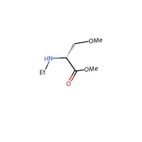 CCN[C@H](COC)C(=O)OC